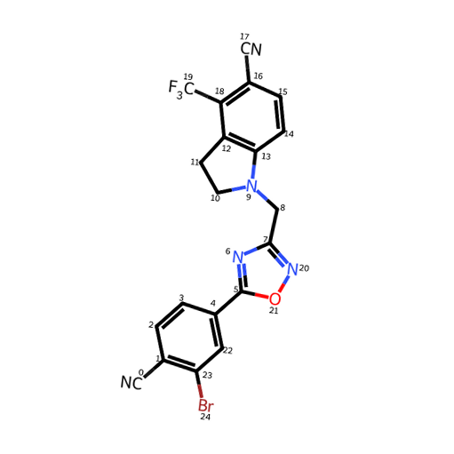 N#Cc1ccc(-c2nc(CN3CCc4c3ccc(C#N)c4C(F)(F)F)no2)cc1Br